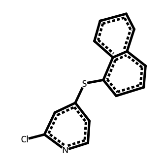 Clc1cc(Sc2cccc3ccccc23)ccn1